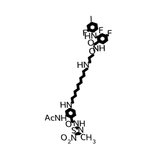 CC(=O)Nc1cc(NCCCCCCCCCCCNCCCONC(=O)c2ccc(F)c(F)c2Nc2ccc(I)cc2F)ccc1C(=O)Nc1nc(C)c([N+](=O)[O-])s1